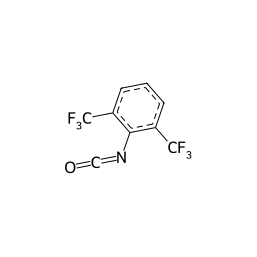 O=C=Nc1c(C(F)(F)F)cccc1C(F)(F)F